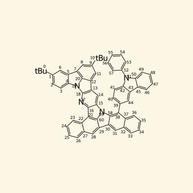 CC(C)(C)c1ccc2c(c1)c1cc(C(C)(C)C)cc3c4cc5c(nc4n2c13)c1c2ccccc2cc2c3cc4ccccc4c(-c4ccc6c(c4)c4ccccc4n6-c4ccccc4)c3n5c21